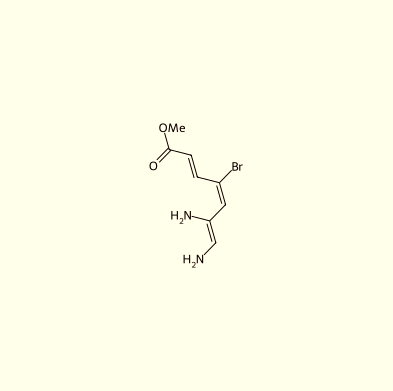 COC(=O)/C=C/C(Br)=C\C(N)=C\N